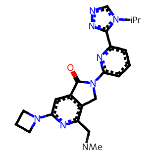 CNCc1nc(N2CCC2)cc2c1CN(c1cccc(-c3nncn3C(C)C)n1)C2=O